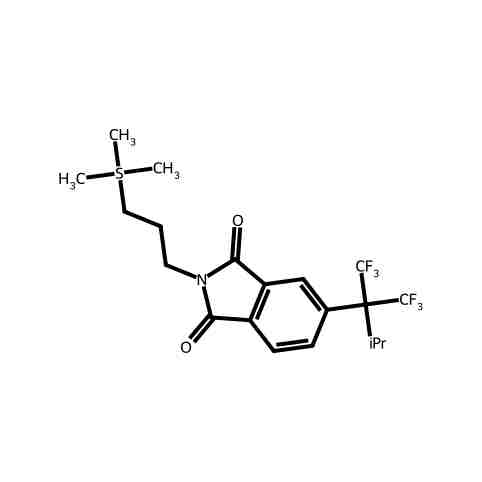 CC(C)C(c1ccc2c(c1)C(=O)N(CCCS(C)(C)C)C2=O)(C(F)(F)F)C(F)(F)F